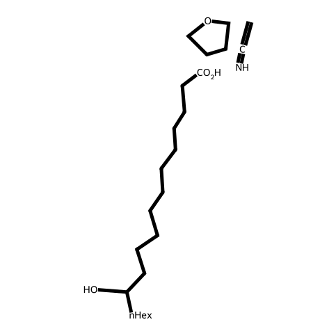 C1CCOC1.C=C=N.CCCCCCC(O)CCCCCCCCCCC(=O)O